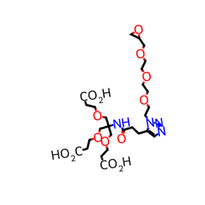 O=C(O)CCOCC(COCCC(=O)O)(COCCC(=O)O)NC(=O)CCc1cnnn1CCOCCOCCOCC1CO1